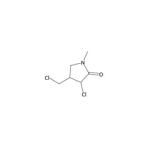 CN1CC(CCl)C(Cl)C1=O